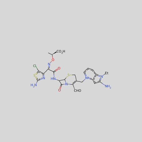 CCn1c(N)cc2c1ccc[n+]2CC1=C(C=O)N2C(=O)C(NC(=O)/C(=N\O[C@@H](C)C(=O)O)c3nc(N)sc3Cl)C2SC1